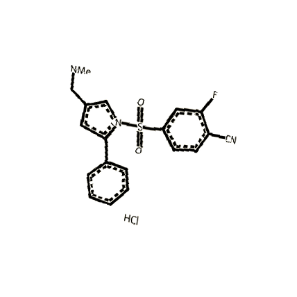 CNCc1cc(-c2ccccc2)n(S(=O)(=O)c2ccc(C#N)c(F)c2)c1.Cl